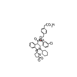 O=C(O)Cc1ccc(CONC(=O)[C@@H]2c3ccccc3C(=O)N([C@H]3CCCC[C@@H]3N3CCCS3(=O)=O)[C@H]2c2ccc(Cl)cc2Cl)cc1